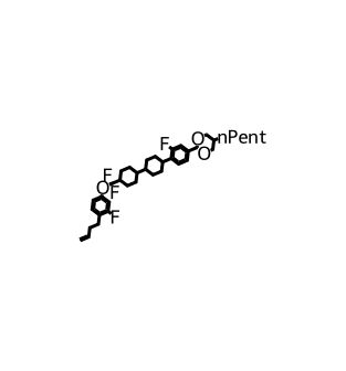 C=CCCc1ccc(OC(F)(F)C2CCC(C3CCC(c4ccc(C5OCC(CCCCC)CO5)cc4F)CC3)CC2)cc1F